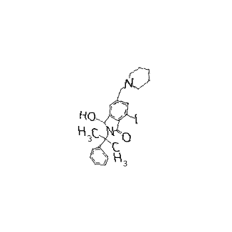 CC(C)(c1ccccc1)N1C(=O)c2c(I)cc(CN3CCCCC3)cc2C1O